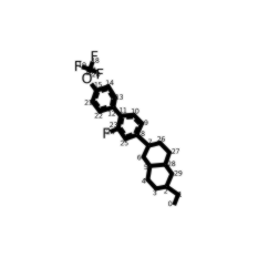 CCC1CCC2CC(c3ccc(-c4ccc(OC(F)(F)F)cc4)c(F)c3)CCC2C1